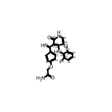 N=C(c1ccc(OCC(N)=O)cc1)c1c(Nc2c(F)cccc2F)c(Cl)c[nH]c1=O